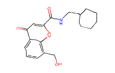 O=C(NCC1CCCCC1)c1cc(=O)c2cccc(CO)c2o1